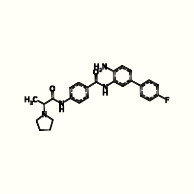 CC(C(=O)Nc1ccc(C(=O)Nc2cc(-c3ccc(F)cc3)ccc2N)cc1)N1CCCC1